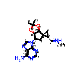 CCCNC[C@H]1C[C@]12C[C@@H](n1cnc3c(N)ncnc31)C1OC(C)(C)OC12